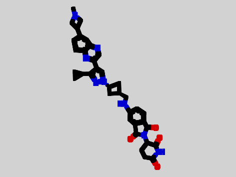 CN1CC(c2ccc3nc(-c4cn([C@H]5C[C@H](CNc6ccc7c(c6)C(=O)N(C6CCC(=O)NC6=O)C7=O)C5)nc4C4CC4)cnc3c2)C1